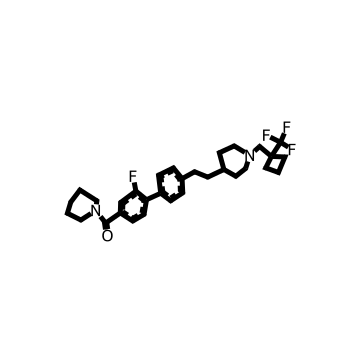 O=C(c1ccc(-c2ccc(CCC3CCN(CC4(C(F)(F)F)CCC4)CC3)cc2)c(F)c1)N1CCCCC1